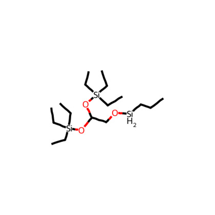 CCC[SiH2]OCC(O[Si](CC)(CC)CC)O[Si](CC)(CC)CC